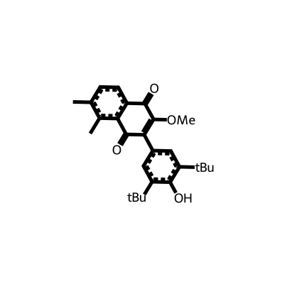 COC1=C(c2cc(C(C)(C)C)c(O)c(C(C)(C)C)c2)C(=O)c2c(ccc(C)c2C)C1=O